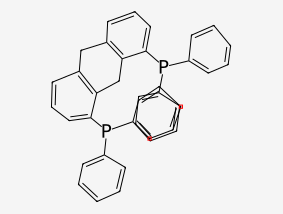 c1ccc(P(c2ccccc2)c2cccc3c2Cc2c(cccc2P(c2ccccc2)c2ccccc2)C3)cc1